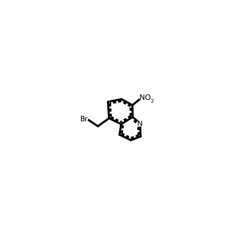 O=[N+]([O-])c1ccc(CBr)c2cccnc12